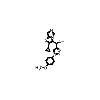 COc1ccc(-n2cc(C(O)c3c(C4CC4)sc4cncn34)nn2)cc1